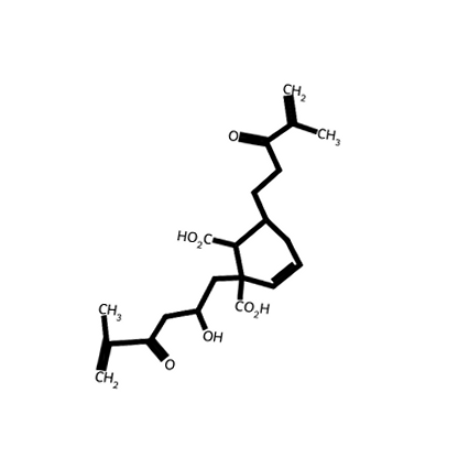 C=C(C)C(=O)CCC1CC=CC(CC(O)CC(=O)C(=C)C)(C(=O)O)C1C(=O)O